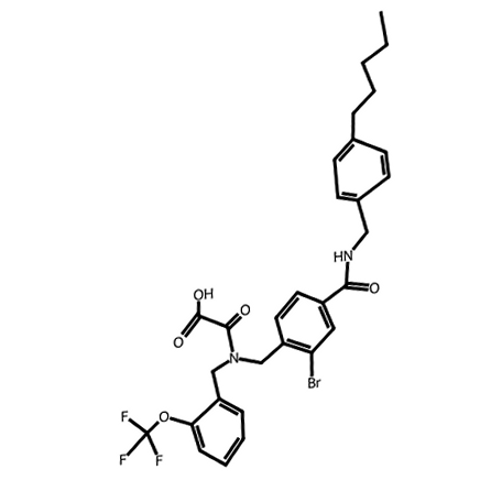 CCCCCc1ccc(CNC(=O)c2ccc(CN(Cc3ccccc3OC(F)(F)F)C(=O)C(=O)O)c(Br)c2)cc1